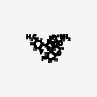 CCCC(=O)N1N=C(c2cc(C)ccc2F)S[C@]12c1cc(F)ccc1OC[C@@H]2CCN